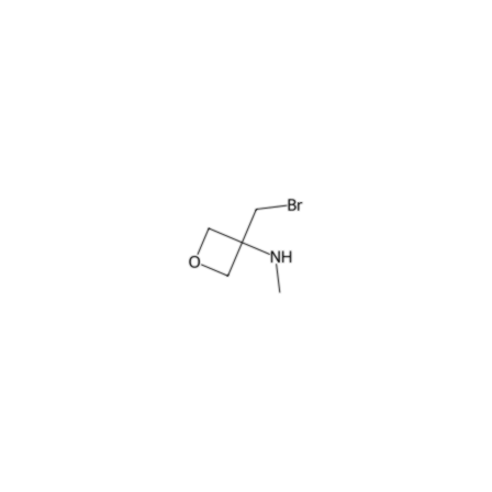 CNC1(CBr)COC1